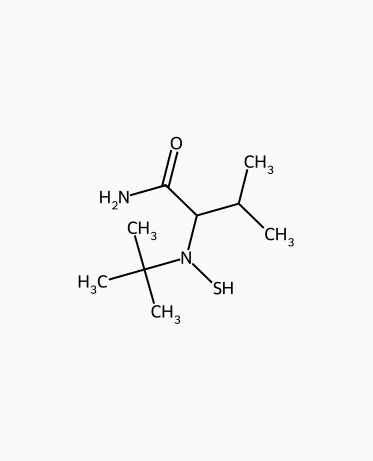 CC(C)C(C(N)=O)N(S)C(C)(C)C